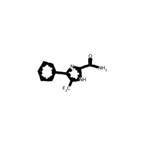 NC(=O)c1nc(-c2ccccc2)c(C(F)(F)F)[nH]1